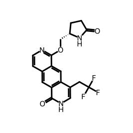 O=C1CC[C@@H](COc2nccc3cc4c(=O)[nH]cc(CC(F)(F)F)c4cc23)N1